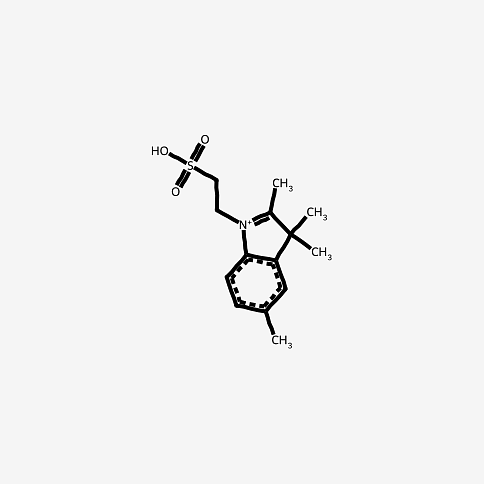 CC1=[N+](CCS(=O)(=O)O)c2ccc(C)cc2C1(C)C